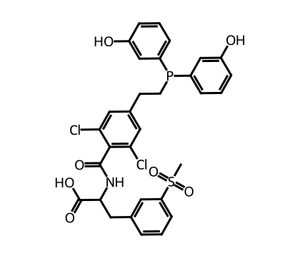 CS(=O)(=O)c1cccc(CC(NC(=O)c2c(Cl)cc(CCP(c3cccc(O)c3)c3cccc(O)c3)cc2Cl)C(=O)O)c1